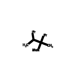 CNC(C)(C(C)C)C(C)C(C)C